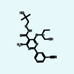 CC[C@@H](CO)Oc1nc(-c2cccc(C#N)c2)nc(N)c1C(=O)NOCC(C)(C)O